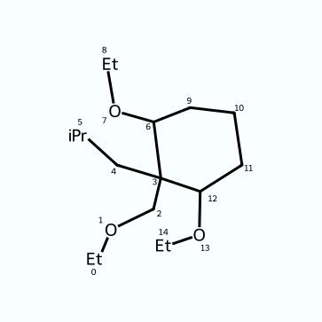 CCOCC1(CC(C)C)C(OCC)CCCC1OCC